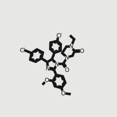 CCN1CCN(C(=O)N2C(c3ccc(OC)cc3OC)=NC(c3ccc(Cl)cc3)C2c2ccc(Cl)cc2)CC1=O